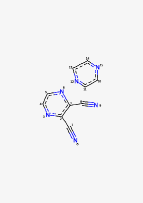 N#Cc1nccnc1C#N.c1cnccn1